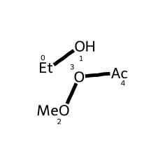 CCO.COOC(C)=O